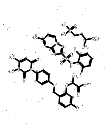 CCc1ccc(COc2ccc(-n3c(=O)cc(C(F)(F)F)n(C)c3=O)cc2)c(OC(C)C(=O)OC)c1.CP(=O)(O)CCC(N)C(=O)O.Cc1ccn2nc(S(=O)(=O)Nc3c(F)cccc3F)nc2n1